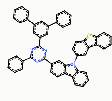 c1ccc(-c2cc(-c3ccccc3)cc(-c3nc(-c4ccccc4)nc(-c4ccc5c6ccccc6n(-c6ccc7sc8ccccc8c7c6)c5c4)n3)c2)cc1